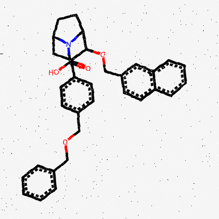 O=C(O)N1C2CCC1C(OCc1ccc3ccccc3c1)C(c1ccc(COCc3ccccc3)cc1)C2